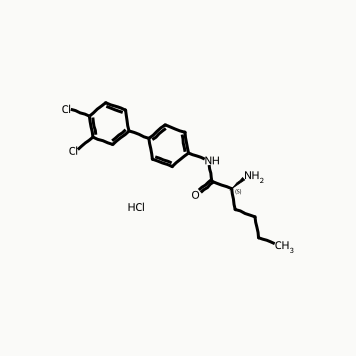 CCCC[C@H](N)C(=O)Nc1ccc(-c2ccc(Cl)c(Cl)c2)cc1.Cl